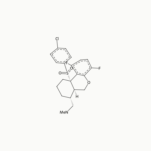 CNC[C@@H]1CCC[C@@]2(S(=O)(=O)c3ccc(Cl)cc3)c3c(F)ccc(F)c3OC[C@@H]12